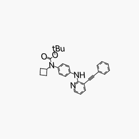 CC(C)(C)OC(=O)N(c1ccc(Nc2ncccc2C#Cc2ccccc2)cc1)C1CCC1